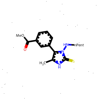 CCCCCNn1c(-c2cccc(C(=O)OC)c2)c(C)[nH]c1=S